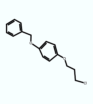 ClCCCOc1ccc(OCc2ccccc2)cc1